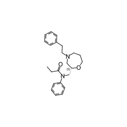 CCC(=O)N(C[C@@H]1CN(CCc2ccccc2)CCCO1)c1ccccc1